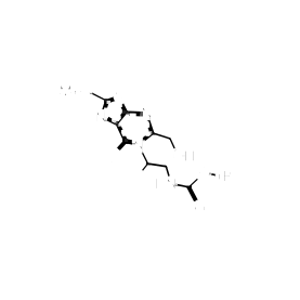 CSc1nc2c(=O)n(C(C)CNC(=O)OC(C)(C)C)c(CO)nc2s1